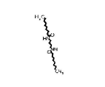 CCCCCCCCCC(=O)NCCCCNC(=O)CCCCCCCCC